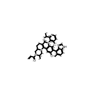 C=CC(=O)N1CC2CCc3c(c4cc(Cl)c(-c5c(C)ccc6[nH]cnc56)c(F)c4n(-c4c(C)ccnc4C(C)C)c3=O)N2CC1C